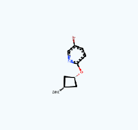 O=C[C@H]1C[C@H](Oc2ccc(Br)cn2)C1